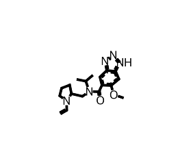 C=CN1CCCC1CN(C(=O)c1cc2nn[nH]c2cc1OC)C(C)C